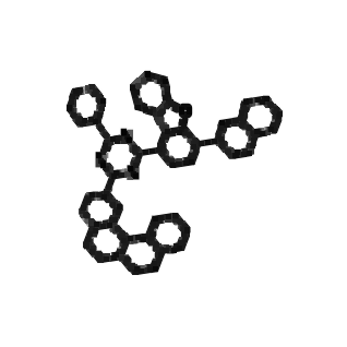 c1ccc(-c2nc(-c3ccc4ccc5ccc6ccccc6c5c4c3)nc(-c3ccc(-c4ccc5ccccc5c4)c4oc5ccccc5c34)n2)cc1